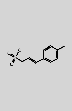 O=S(=O)(Cl)CC=Cc1ccc(I)cc1